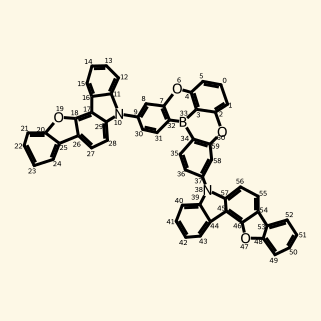 c1cc2c3c(c1)Oc1cc(-n4c5ccccc5c5c6oc7ccccc7c6ccc54)ccc1B3c1ccc(-n3c4ccccc4c4c5oc6ccccc6c5ccc43)cc1O2